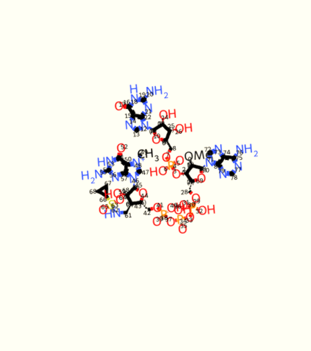 CO[C@@H]1[C@H](OP(=O)(O)OC[C@H]2O[C@@H](n3cnc4c(=O)[nH]c(N)nc43)[C@H](O)[C@@H]2O)[C@@H](COP(=O)(O)OP(=O)(O)OP(=O)(O)OC[C@H]2O[C@@H](n3c[n+](C)c4c(=O)[nH]c(N)nc43)[C@H](O)[C@@H]2CNS(=O)(=O)C2CC2)O[C@H]1n1cnc2c(N)ncnc21